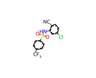 N#Cc1ccc(Cl)cc1NS(=O)(=O)c1ccc(C(F)(F)F)cc1